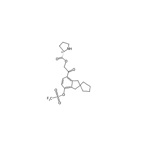 O=C(COC(=O)[C@@H]1CCCN1)c1ccc(OS(=O)(=O)C(F)(F)F)c2c1CC1(CCCC1)C2